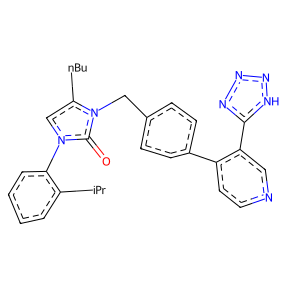 CCCCc1cn(-c2ccccc2C(C)C)c(=O)n1Cc1ccc(-c2ccncc2-c2nnn[nH]2)cc1